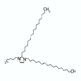 CCCCCCCCCCCCCCCCCC1N(CCCC)C=CN1CCCCCCCCCCCCCCCCC